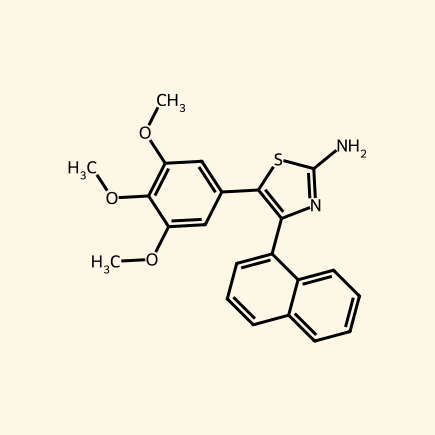 COc1cc(-c2sc(N)nc2-c2cccc3ccccc23)cc(OC)c1OC